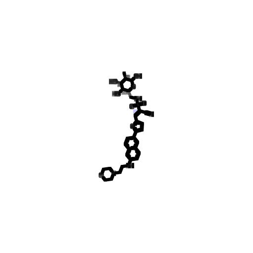 C[C@H]1C(O)O[C@H](CNS(=O)(=O)/C(C#N)=C/c2ccc(-c3ccc4cc(NCCN5CCOCC5)ccc4c3)o2)[C@@H](O)[C@@H]1O